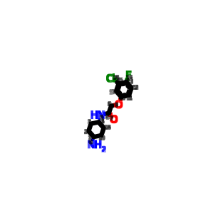 N[C@H]1CC[C@H](NC(=O)COc2ccc(F)c(Cl)c2)CC1